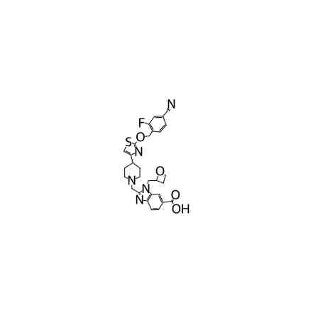 N#Cc1ccc(COc2nc(C3CCN(Cc4nc5ccc(C(=O)O)cc5n4CC4CCO4)CC3)cs2)c(F)c1